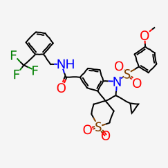 COc1cccc(S(=O)(=O)N2c3ccc(C(=O)NCc4ccccc4C(F)(F)F)cc3C3(CCS(=O)(=O)CC3)C2C2CC2)c1